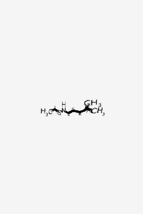 CCSNCCCC(C)C